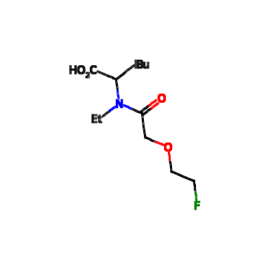 CCC(C)C(C(=O)O)N(CC)C(=O)COCCF